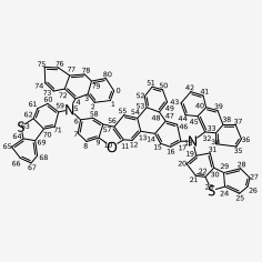 c1ccc2c(N(c3ccc4oc5cc6c7ccc(N(c8ccc9sc%10ccccc%10c9c8)c8c9ccccc9cc9ccccc89)cc7c7ccccc7c6cc5c4c3)c3ccc4sc5ccccc5c4c3)c3ccccc3cc2c1